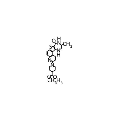 COC(OC)C1CCN(c2ccc3c(ccc4sc5c(c43)NCC(C)NC5=O)n2)CC1